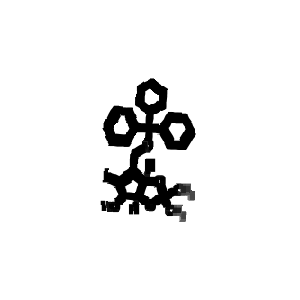 CC1(C)O[C@@H]2C(COC(c3ccccc3)(c3ccccc3)c3ccccc3)=C(I)C(O)[C@@H]2O1